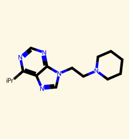 CC(C)c1ncnc2c1ncn2CCN1CCCCC1